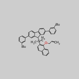 C=CCOc1c([Si](C)(C)C2c3cc(-c4cccc(C(C)CC)c4)ccc3-c3ccc(-c4cccc(C(C)CC)c4)cc32)ccc2ccccc12